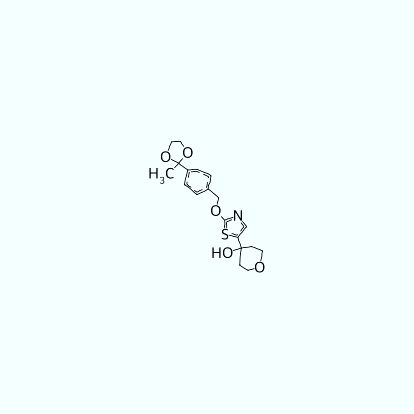 CC1(c2ccc(COc3ncc(C4(O)CCOCC4)s3)cc2)OCCO1